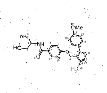 CCCC(CO)NC(=O)c1ccc(OCc2c(-c3ccc(OC)nc3)noc2C)nc1